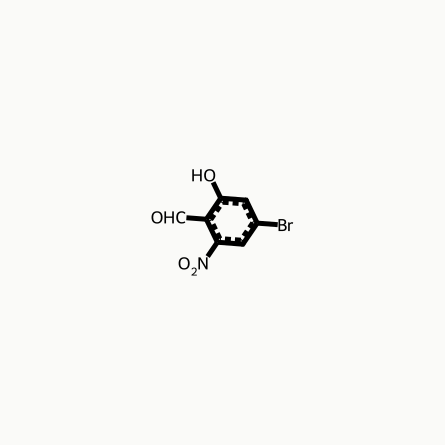 O=Cc1c(O)cc(Br)cc1[N+](=O)[O-]